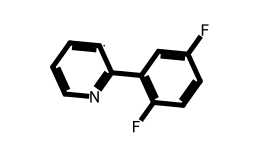 Fc1ccc(F)c(-c2[c]cccn2)c1